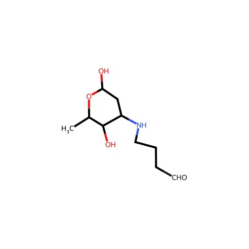 CC1OC(O)CC(NCCCC=O)C1O